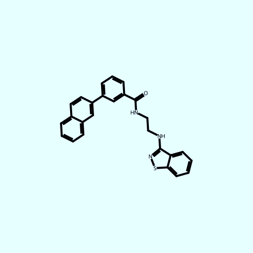 O=C(NCCNc1nsc2ccccc12)c1cccc(-c2ccc3ccccc3c2)c1